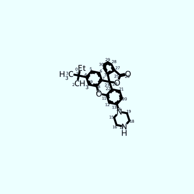 CCC(C)(C)c1ccc2c(c1)Oc1cc(N3CCNCC3)ccc1C21OC(=O)c2ccccc21